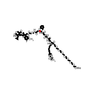 COCCOCCOCCOCCOCCOCCOCCOCCNC(=O)[C@H](CCC(=O)NCC(=O)NCC(=O)N[C@@H](Cc1ccccc1)C(=O)NCC(=O)NCOCC(=O)NCc1c2c(nc3cc(F)c(C)cc13)-c1cc3c(c(=O)n1C2)COC(=O)[C@]3(O)CC1CC1)NCCCCC#Cc1cnc(S(C)(=O)=O)nc1